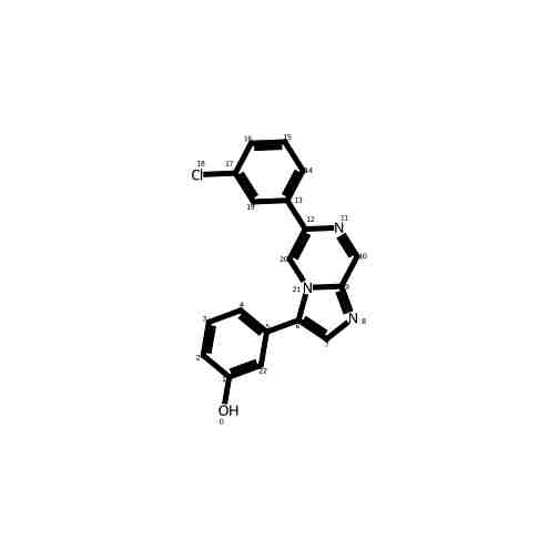 Oc1cccc(-c2cnc3cnc(-c4cccc(Cl)c4)cn23)c1